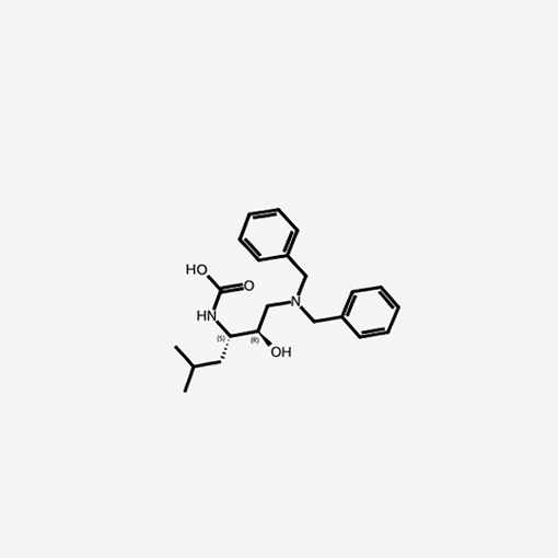 CC(C)C[C@H](NC(=O)O)[C@H](O)CN(Cc1ccccc1)Cc1ccccc1